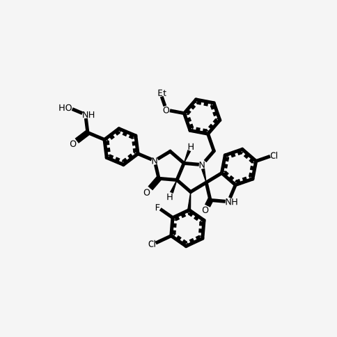 CCOc1cccc(CN2[C@H]3CN(c4ccc(C(=O)NO)cc4)C(=O)[C@H]3[C@H](c3cccc(Cl)c3F)[C@]23C(=O)Nc2cc(Cl)ccc23)c1